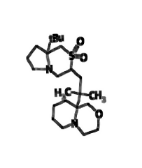 CC(C)(C)C12CCCN1CC(CC(C)(C)C13CCCCN1CCOC3)S(=O)(=O)C2